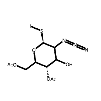 CC(=O)OCC1O[C@@H](SI)C(N=[N+]=[N-])C(O)[C@@H]1OC(C)=O